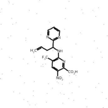 C=CCC(Nc1nc(C(=O)O)c([N+](=O)[O-])cc1C(F)(F)F)c1ncccn1